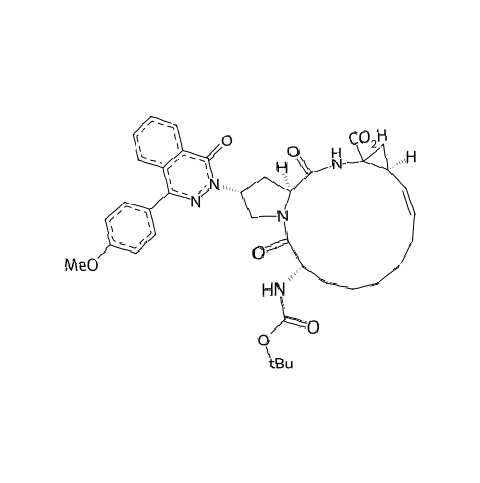 COc1ccc(-c2nn([C@@H]3C[C@H]4C(=O)NC5(C(=O)O)C[C@H]5/C=C\CCCCC[C@H](NC(=O)OC(C)(C)C)C(=O)N4C3)c(=O)c3ccccc23)cc1